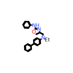 CCN(CC1COC(Nc2ccccc2)=N1)c1ccc(-c2ccccc2)cc1